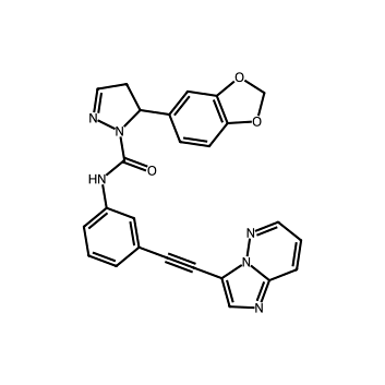 O=C(Nc1cccc(C#Cc2cnc3cccnn23)c1)N1N=CCC1c1ccc2c(c1)OCO2